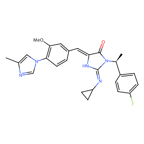 COc1cc(/C=C2\N/C(=N\C3CC3)N([C@@H](C)c3ccc(F)cc3)C2=O)ccc1-n1cnc(C)c1